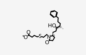 COC(=O)CCCSCCN1C(=O)CC[C@@H]1CC[C@@H](O)[C@@H](C)CCCc1ccccc1